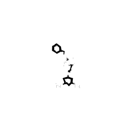 C[C@@H](COc1cc(Br)cc(Br)c1)NC(=O)OCc1ccccc1